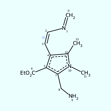 C=N/C=C\c1c(C(=O)OCC)c(CN)n(C)c1C